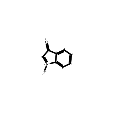 O=C1[C]=[N+]([O-])c2ccccc21